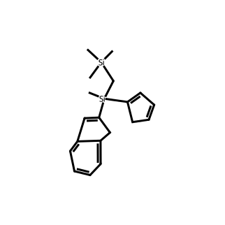 C[Si](C)(C)C[Si](C)(C1=CC=CC1)C1=Cc2ccccc2C1